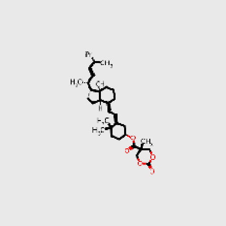 CC(C)[C@@H](C)/C=C/[C@@H](C)[C@H]1CC[C@H]2/C(=C/C=C3/C[C@@H](OC(=O)C4(C)COC(=O)OC4)CCC3(C)C)CCC[C@]12C